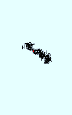 CCOP(=O)(OCC)[C@@]1(O)CCN(CCN2CCc3nc(Nc4ncc(F)c(-c5cc(F)c6nc(C)n(C(C)(C)C)c6c5)n4)ccc3C2)C1